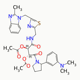 CC(=O)O[C@@H](C(=O)NCc1nc(Cn2c(C)nc3ccccc32)cs1)[C@@H](OC(C)=O)C(=O)N1CCCC1c1cccc(N(C)C)c1